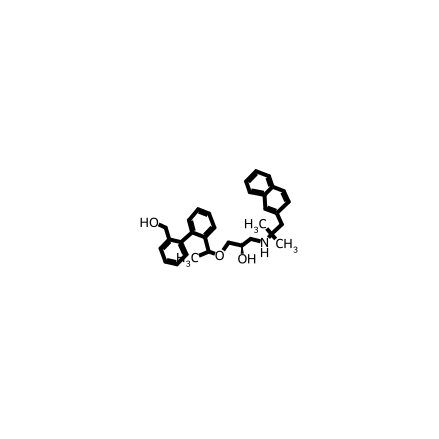 CC(OC[C@H](O)CNC(C)(C)Cc1ccc2ccccc2c1)c1ccccc1-c1ccccc1CO